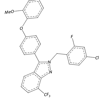 COc1ccccc1Oc1ccc(-c2c3cccc(C(F)(F)F)c3nn2Cc2ccc(Cl)cc2F)cc1